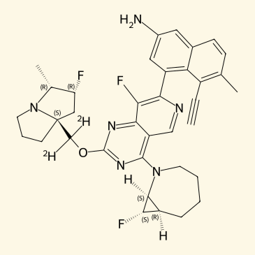 [2H]C([2H])(Oc1nc(N2CCCC[C@H]3[C@H](F)[C@H]32)c2cnc(-c3cc(N)cc4ccc(C)c(C#C)c34)c(F)c2n1)[C@@]12CCCN1[C@H](C)[C@H](F)C2